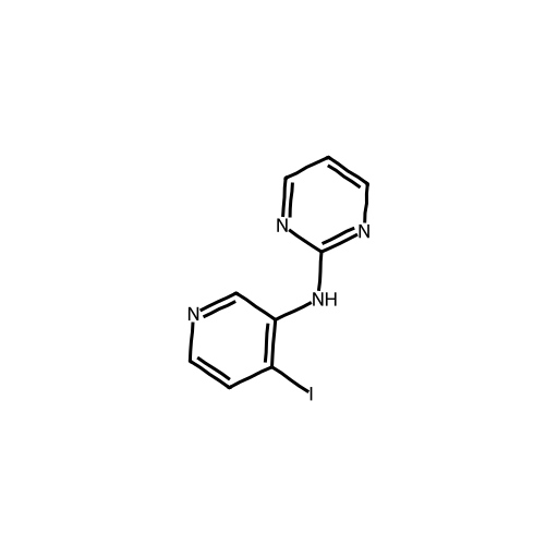 Ic1ccncc1Nc1ncccn1